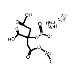 O=C(O)CC(CC(=O)[O][Au][Cl])(O[N+](=O)[O-])C(=O)O.[Ag].[NaH].[NaH].[NaH]